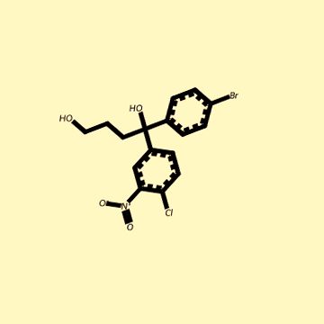 O=[N+]([O-])c1cc(C(O)(CCCO)c2ccc(Br)cc2)ccc1Cl